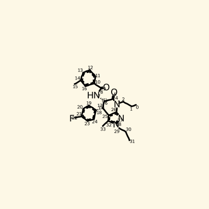 CCCN1C(=O)[C@@H](NC(=O)c2cccc(C)c2)[C@@H](c2ccc(F)cc2)c2c1nn(CCC)c2C